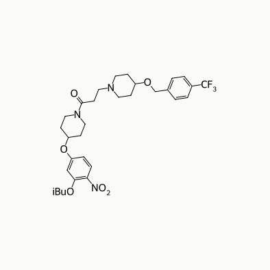 CC(C)COc1cc(OC2CCN(C(=O)CCN3CCC(OCc4ccc(C(F)(F)F)cc4)CC3)CC2)ccc1[N+](=O)[O-]